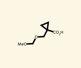 COCOCC1(C(=O)O)CC1